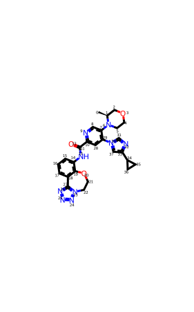 C[C@H]1COCCN1c1cnc(C(=O)Nc2cccc3c2OCCn2nnnc2-3)cc1-n1cnc(C2CC2)c1